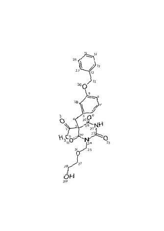 CC(=O)C1(Cc2cccc(OCc3ccccc3)c2)C(=O)NC(=O)N(COCCO)C1=O